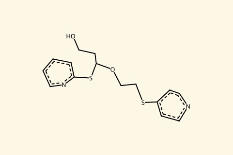 OCCC(OCCSc1ccncc1)Sc1ccccn1